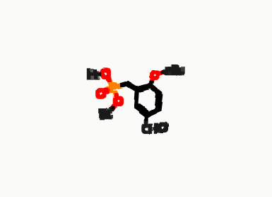 CCCCOc1ccc(C=O)cc1CP(=O)(OCC)OCC